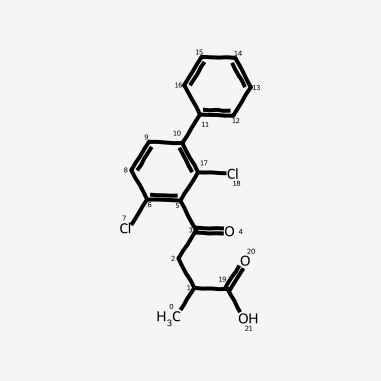 CC(CC(=O)c1c(Cl)ccc(-c2ccccc2)c1Cl)C(=O)O